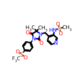 CC1(C)C(=O)N(c2ccc(S(=O)(=O)C(F)(F)F)cc2)C(=O)N1Cc1ccncc1NS(C)(=O)=O